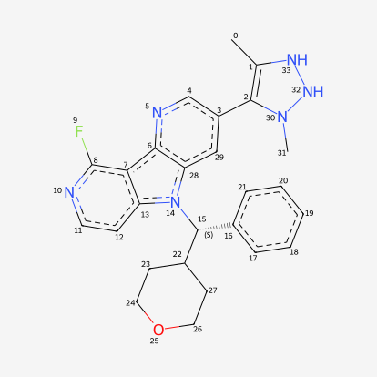 CC1=C(c2cnc3c4c(F)nccc4n([C@H](c4ccccc4)C4CCOCC4)c3c2)N(C)NN1